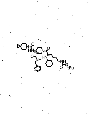 CC(C)(C)OC(=O)NCCCC[C@@H](NC1CCCCC1)C(=O)N1CC[C@@H](NC(=O)N2CCC3(CC2)CC3)[C@@H](C(=O)NCc2cccs2)C1